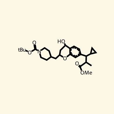 COC(=O)C(C)C(c1ccc2c(c1)OC(CC1CCN(C(=O)OC(C)(C)C)CC1)CC2O)C1CC1